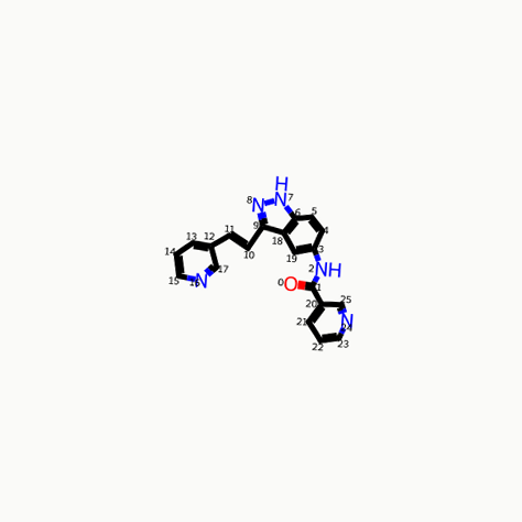 O=C(Nc1ccc2[nH]nc(C=Cc3cccnc3)c2c1)c1cccnc1